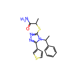 CC(Sc1nnc(-c2ccsc2)n1C(C)c1ccccc1)C(N)=O